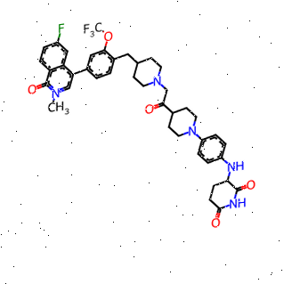 Cn1cc(-c2ccc(CC3CCN(CC(=O)C4CCN(c5ccc(NC6CCC(=O)NC6=O)cc5)CC4)CC3)c(OC(F)(F)F)c2)c2cc(F)ccc2c1=O